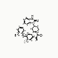 C=C(C(=O)N1CCC(n2c(=O)[nH]c3ccccc32)CC1)c1ccc(Sc2ccccc2Br)c(Cl)c1